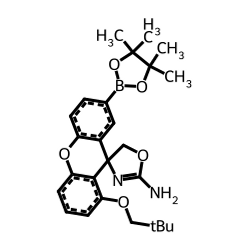 CC(C)(C)COc1cccc2c1C1(COC(N)=N1)c1cc(B3OC(C)(C)C(C)(C)O3)ccc1O2